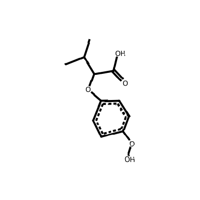 CC(C)C(Oc1ccc(OO)cc1)C(=O)O